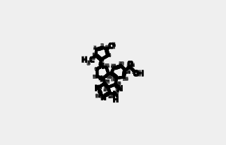 Cc1ccc(Cl)cc1N1CCN(c2ncnc3[nH]nc(-c4cccc(C(=O)O)c4)c23)CC1